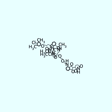 Cc1cc(OCCCc2c(C(=O)OC(C)(C)C)n(CCN3CCOCC3)c3c(-c4c(C)nn(CCCOCCOCCNc5cccc6c5C(=O)C(C5CCC(=O)NC5=O)C6=O)c4C)cccc23)cc(C)c1Cl